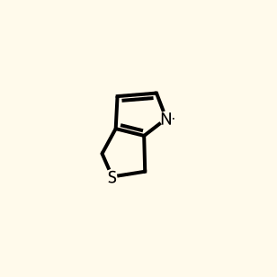 C1=CC2=C(CSC2)[N]1